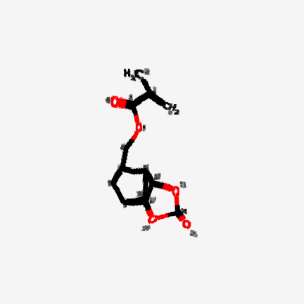 C=C(C)C(=O)OCC1CC2CC1C1OC(=O)OC21